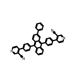 N#Cc1cnccc1-c1ccc(-c2c3ccccc3c(-c3ccc(-c4ccncc4C#N)cc3)c3cc(-c4ccccc4)ccc23)cc1